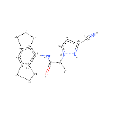 C[C](C(=O)Nc1c2c(cc3c1CCC3)CCC2)n1ccc(C#N)n1